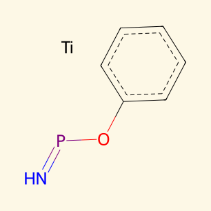 N=POc1ccccc1.[Ti]